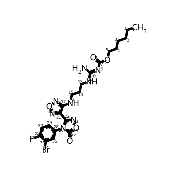 CCCCCCOC(=O)/N=C(\N)NCCCNc1nonc1-c1noc(=O)n1-c1ccc(F)c(Br)c1